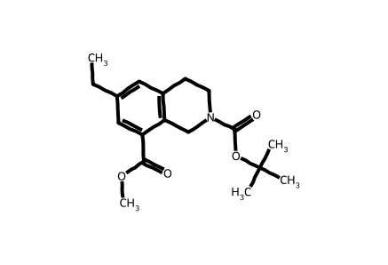 CCc1cc2c(c(C(=O)OC)c1)CN(C(=O)OC(C)(C)C)CC2